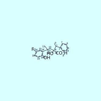 CC(c1ccccc1)C(O)(CC(C)(C)c1cc(F)ccc1O)C(=O)O